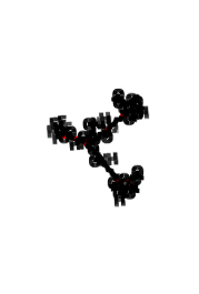 CC(=O)NC1C(SCCCCCCNC(=O)CCOCC(COCCC(N)=O)(COCCC(=O)NCCCCCCSC2OC(COC(C)=O)C(OC(C)=O)C(OC(C)=O)C2NC(C)=O)NC(=O)CCCC(=O)Oc2c(F)c(F)c(F)c(F)c2F)OC(COC(C)=O)C(OC(C)=O)C1OC(C)=O